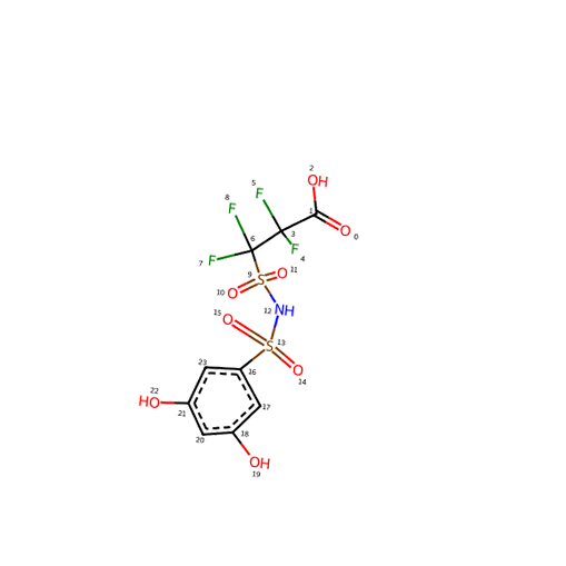 O=C(O)C(F)(F)C(F)(F)S(=O)(=O)NS(=O)(=O)c1cc(O)cc(O)c1